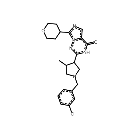 CC1CN(Cc2cccc(Cl)c2)CC1c1nn2c(C3CCOCC3)ncc2c(=O)[nH]1